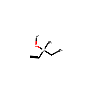 C=C[Si](CC(C)C)(OC(C)C)C(C)C